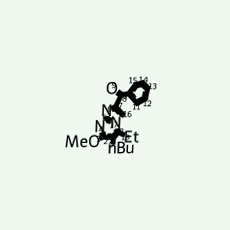 CCCCc1c(OC)nc2nc(C(=O)c3ccccc3)cn2c1CC